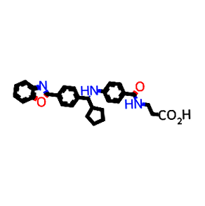 O=C(O)CCNC(=O)c1ccc(N[C@@H](c2ccc(-c3nc4ccccc4o3)cc2)C2CCCC2)cc1